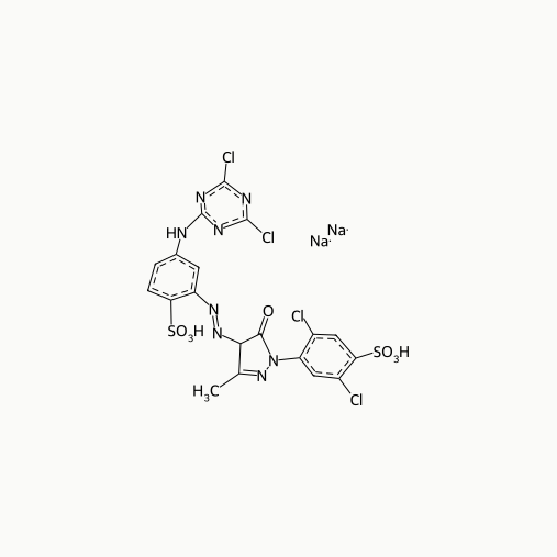 CC1=NN(c2cc(Cl)c(S(=O)(=O)O)cc2Cl)C(=O)C1N=Nc1cc(Nc2nc(Cl)nc(Cl)n2)ccc1S(=O)(=O)O.[Na].[Na]